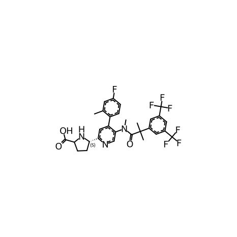 Cc1cc(F)ccc1-c1cc([C@@H]2CCC(C(=O)O)N2)ncc1N(C)C(=O)C(C)(C)c1cc(C(F)(F)F)cc(C(F)(F)F)c1